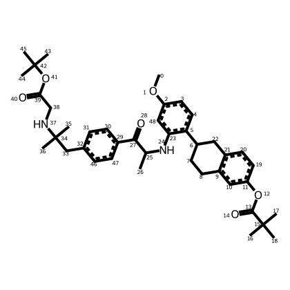 COc1ccc(C2CCc3cc(OC(=O)C(C)(C)C)ccc3C2)c(NC(C)C(=O)c2ccc(CC(C)(C)NCC(=O)OC(C)(C)C)cc2)c1